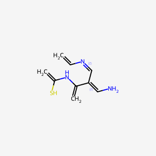 C=C/N=C\C(=C/N)C(=C)NC(=C)S